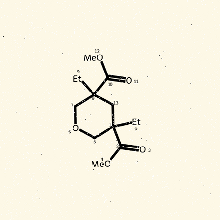 CCC1(C(=O)OC)COCC(CC)(C(=O)OC)C1